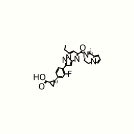 CCc1cc(C(=O)N2CCn3cccc3[C@H]2C)nc2cc(-c3ccc([C@H]4CC4C(=O)O)cc3F)nn12